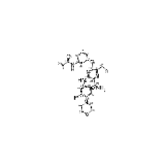 C=CC(=O)Nc1cccc(Oc2nc(Nc3ccc(N4CCOCC4)c(F)c3)c(C(N)=O)nc2CC)c1